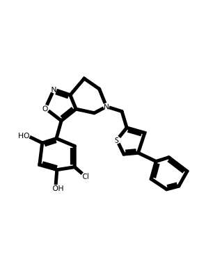 Oc1cc(O)c(-c2onc3c2CN(Cc2cc(-c4ccccc4)cs2)CC3)cc1Cl